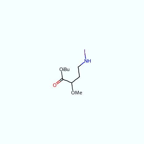 COC(CCNI)C(=O)OCC(C)C